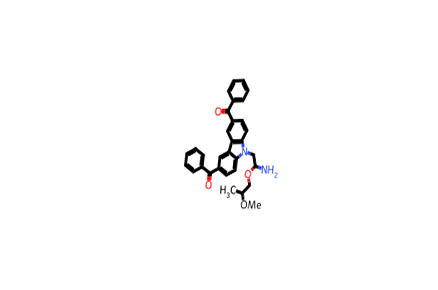 COC(C)COC(N)Cn1c2ccc(C(=O)c3ccccc3)cc2c2cc(C(=O)c3ccccc3)ccc21